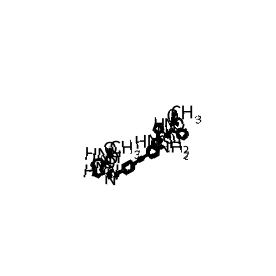 C=C(Nc1cc(C#Cc2ccc(-c3cnc([C@@H]4CC[C@@H]5CC[C@H](NC(=O)OC)C(=O)N54)[nH]3)cc2)ccc1N)C1CCCN1C(=O)[C@H](NC(=O)OC)c1ccccc1